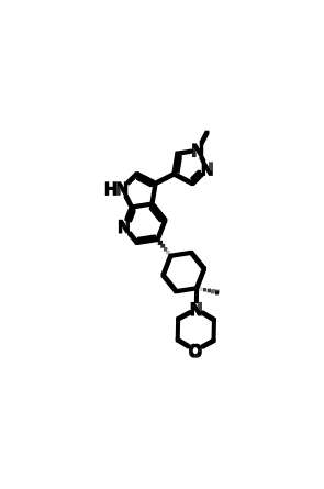 Cn1cc(-c2c[nH]c3ncc([C@H]4CC[C@](C)(N5CCOCC5)CC4)cc23)cn1